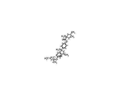 CCCC(C)(C)Oc1ccc(C(C)(CC(C)C)c2ccc(OC(=O)C(C)(CC)CCC)cc2)cc1